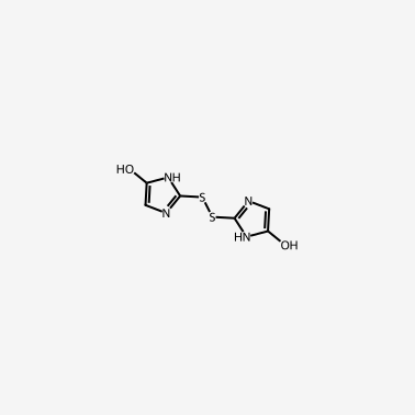 Oc1cnc(SSc2ncc(O)[nH]2)[nH]1